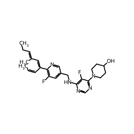 C\C=C/C(=C\C(C)=C\CC)c1ncc(CNc2ncnc(N3CCC(O)CC3)c2F)cc1F